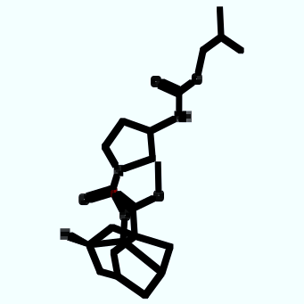 COC(=O)C12CC3CC(C1)C(OC(=O)N1CCC(NC(=O)OCC(C)C)C1)[C@H](C3)C2